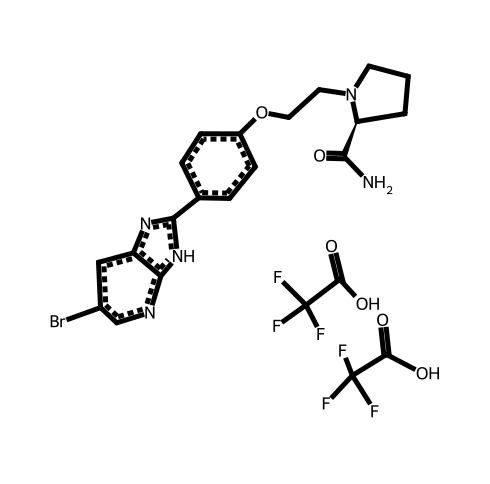 NC(=O)[C@@H]1CCCN1CCOc1ccc(-c2nc3cc(Br)cnc3[nH]2)cc1.O=C(O)C(F)(F)F.O=C(O)C(F)(F)F